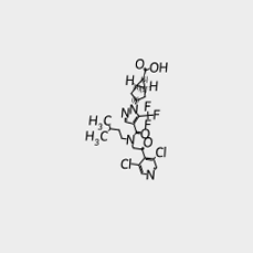 CC(C)CCN(CC(=O)c1c(Cl)cncc1Cl)C(=O)c1cnn([C@H]2C[C@@H]3[C@H](C2)[C@@H]3C(=O)O)c1C(F)(F)F